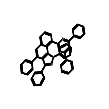 c1ccc(-c2cc(-c3ccccc3)nc(-c3cccc4cc(-c5ccccc5)c5c(-c6ccccc6)nn(-c6ccccc6)c5c34)n2)cc1